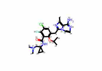 Cc1nc(Cc2cc(Cl)c(F)c(C(=O)NC3(CN(C)C)CC3)c2OC(C)C)n2ccnc(N)c12